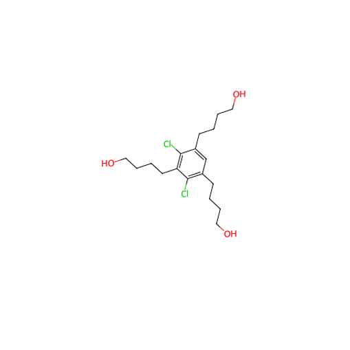 OCCCCc1cc(CCCCO)c(Cl)c(CCCCO)c1Cl